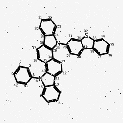 c1ccc(-n2c3ccccc3c3ccc4c(ccc5c6ccccc6n(-c6ccc7c(c6)sc6ccccc67)c54)c32)cc1